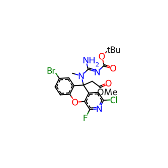 COC(=O)CC1(N(C)C(N)=NC(=O)OC(C)(C)C)c2cc(Br)ccc2Oc2c1cc(Cl)nc2F